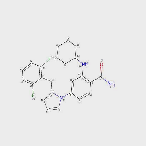 NC(=O)c1ccc(-n2cccc2Cc2c(F)cccc2F)cc1NC1CCCCC1